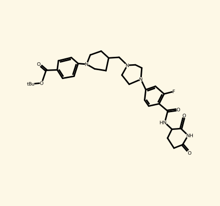 CC(C)(C)OC(=O)c1ccc(N2CCC(CN3CCN(c4ccc(C(=O)NC5CCC(=O)NC5=O)c(F)c4)CC3)CC2)cc1